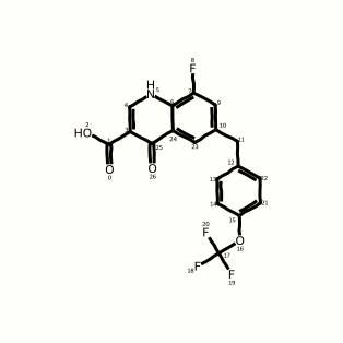 O=C(O)c1c[nH]c2c(F)cc(Cc3ccc(OC(F)(F)F)cc3)cc2c1=O